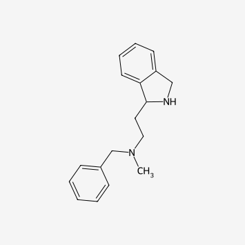 CN(CCC1NCc2ccccc21)Cc1ccccc1